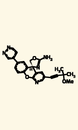 COC(C)(C)C#Cc1cnc2c(c1)[C@@]1(COC(N)=N1)c1cc(-c3ccnnc3)ccc1O2